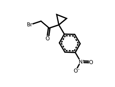 O=C(CBr)C1(c2ccc([N+](=O)[O-])cc2)CC1